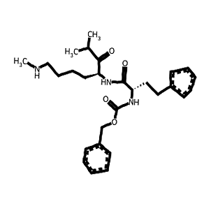 CNCCCC[C@H](NC(=O)[C@H](CCc1ccccc1)NC(=O)OCc1ccccc1)C(=O)C(C)C